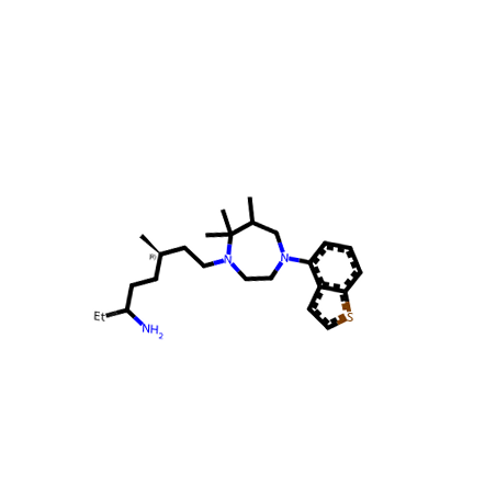 CCC(N)CC[C@@H](C)CCN1CCN(c2cccc3sccc23)CC(C)C1(C)C